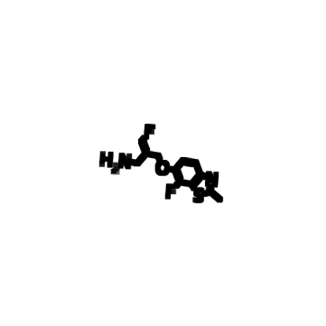 Cc1nc2ccc(OC/C(=C\F)CN)c(F)c2s1